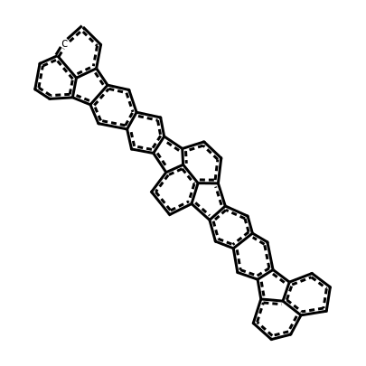 c1cc2cccc3c4cc5cc6c(cc5cc4c(c1)c23)c1ccc2c3cc4cc5c(cc4cc3c3ccc6c1c23)c1cccc2cccc5c21